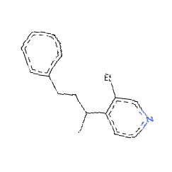 CCc1cnccc1C(C)CCc1ccccc1